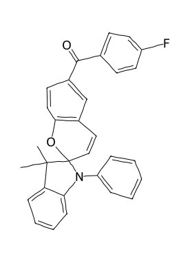 CC1(C)c2ccccc2N(c2ccccc2)C12C=Cc1cc(C(=O)c3ccc(F)cc3)ccc1O2